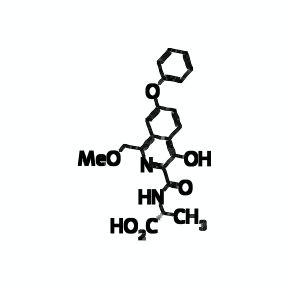 COCc1nc(C(=O)N[C@H](C)C(=O)O)c(O)c2ccc(Oc3ccccc3)cc12